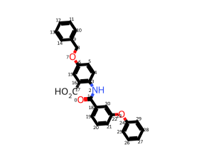 O=C(Nc1ccc(OCc2ccccc2)cc1C(=O)O)c1cccc(Oc2ccccc2)c1